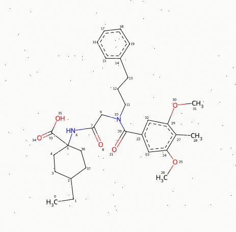 CCC1CCC(NC(=O)CN(CCCc2ccccc2)C(=O)c2cc(OC)c(C)c(OC)c2)(C(=O)O)CC1